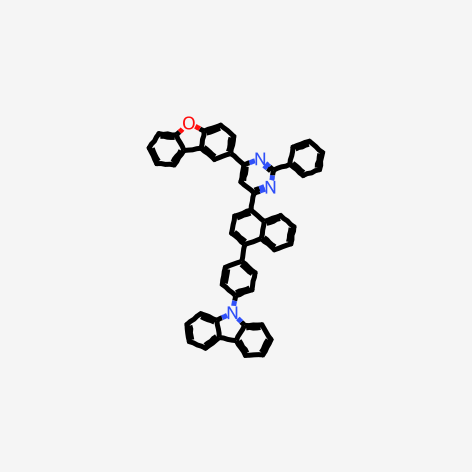 c1ccc(-c2nc(-c3ccc4oc5ccccc5c4c3)cc(-c3ccc(-c4ccc(-n5c6ccccc6c6ccccc65)cc4)c4ccccc34)n2)cc1